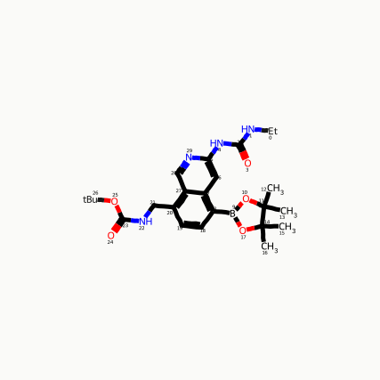 CCNC(=O)Nc1cc2c(B3OC(C)(C)C(C)(C)O3)ccc(CNC(=O)OC(C)(C)C)c2cn1